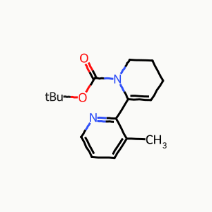 Cc1cccnc1C1=CCCCN1C(=O)OC(C)(C)C